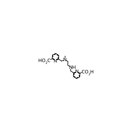 CN(CCNCc1cccc(C(=O)O)n1)Cc1cccc(C(=O)O)n1